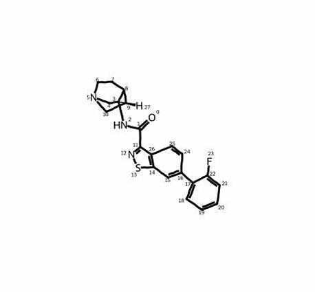 O=C(N[C@@H]1CN2CCC1CC2)c1nsc2cc(-c3ccccc3F)ccc12